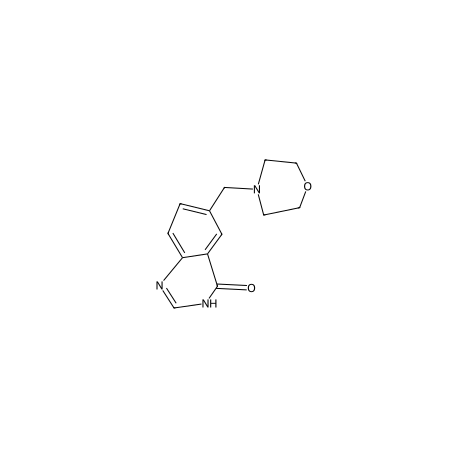 O=c1[nH]cnc2ccc(CN3CCOCC3)cc12